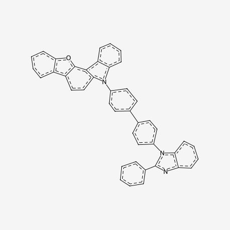 c1ccc(-c2nc3ccccc3n2-c2ccc(-c3ccc(-n4c5ccccc5c5c6oc7ccccc7c6ccc54)cc3)cc2)cc1